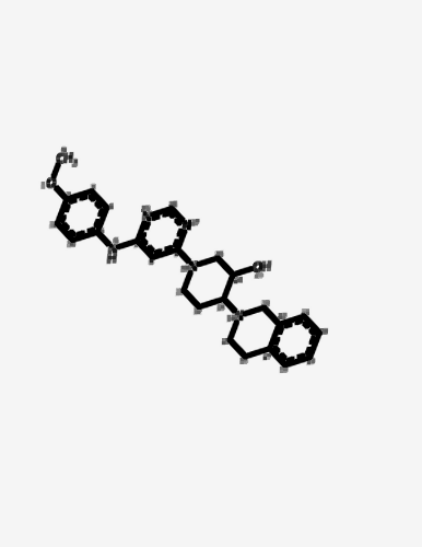 COc1ccc(Nc2cc(N3CCC(N4CCc5ccccc5C4)C(O)C3)ncn2)cc1